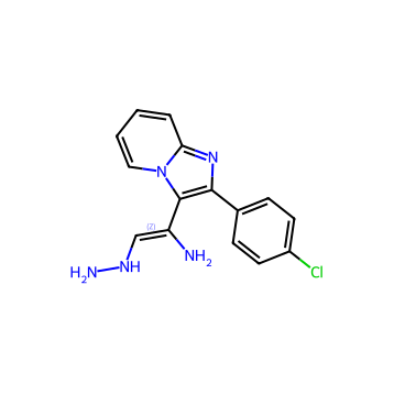 NN/C=C(\N)c1c(-c2ccc(Cl)cc2)nc2ccccn12